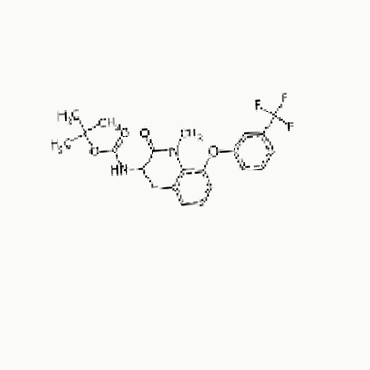 CN1C(=O)C(NC(=O)OC(C)(C)C)Cc2cccc(Oc3cccc(C(F)(F)F)c3)c21